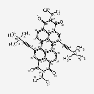 CS(C)(C)C#Cc1cc2c3c(ccc4c5c(C#CS(C)(C)C)cc6c7c(ccc(c1c34)c75)C(=O)N(C(Cl)Cl)C6=O)C(=O)N(C(Cl)Cl)C2=O